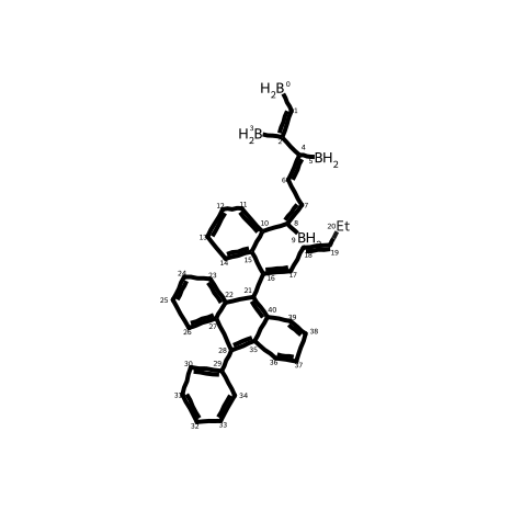 B/C=C(B)/C(B)=C/C=C(/B)c1ccccc1/C(=C\C=C\CC)c1c2ccccc2c(-c2ccccc2)c2ccccc12